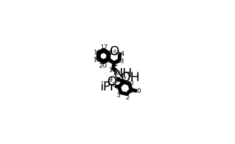 CC1CCC(C(C)C)C(O)(C(=O)NCC2CCOc3ccccc32)C1